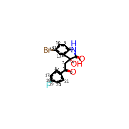 O=C(CC1(O)C(=O)Nc2ccc(Br)cc21)c1ccc(F)cc1